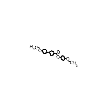 CCOc1ccc(OC(=O)c2ccc(-c3ccc(OCC)cc3)cc2)cc1